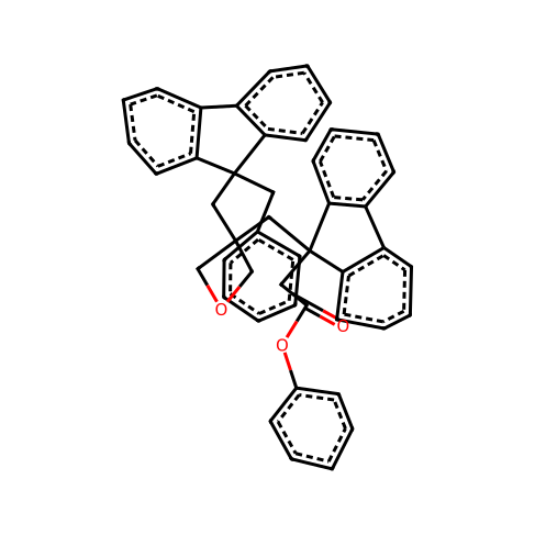 O=C(CC1(CC2(CC3(Cc4ccccc4)c4ccccc4-c4ccccc43)COC2)c2ccccc2-c2ccccc21)Oc1ccccc1